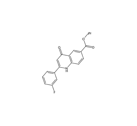 CC(C)OC(=O)c1ccc2[nH]c(-c3cccc(F)c3)cc(=O)c2c1